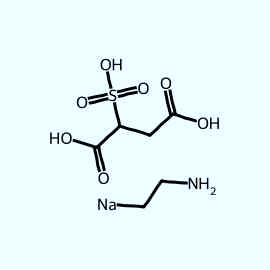 NC[CH2][Na].O=C(O)CC(C(=O)O)S(=O)(=O)O